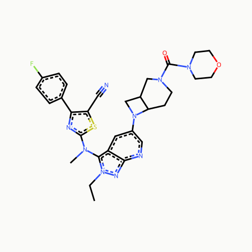 CCn1nc2ncc(N3CC4CN(C(=O)N5CCOCC5)CCC43)cc2c1N(C)c1nc(-c2ccc(F)cc2)c(C#N)s1